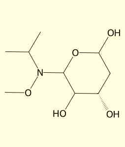 CON(C(C)C)C1OC(O)C[C@H](O)C1O